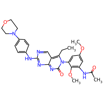 CCc1c2cnc(Nc3ccc(N4CCOCC4)cc3)nc2nc(=O)n1-c1cc(OC)cc(NC(C)=O)c1OC